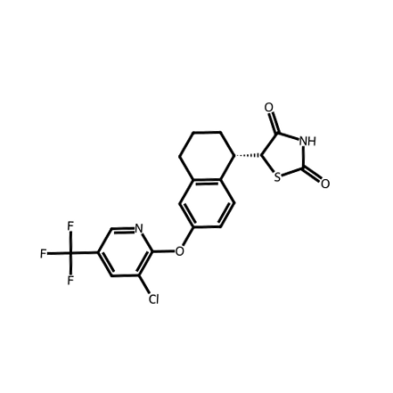 O=C1NC(=O)C([C@H]2CCCc3cc(Oc4ncc(C(F)(F)F)cc4Cl)ccc32)S1